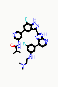 CC(C)C(=O)Nc1cncc(-c2cc(F)c3[nH]nc(-c4nc5c(-c6cc(F)cc(NCCN(C)C)c6)ccnc5[nH]4)c3c2)c1